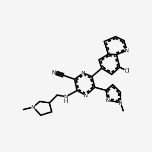 CN1CCC(CNc2nc(-c3ccn(C)n3)c(-c3cc(Cl)c4ncccc4c3)nc2C#N)C1